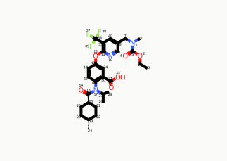 CCOC(=O)N(C)Cc1cnc(Oc2ccc(N(C(=O)[C@H]3CC[C@H](C)CC3)C(C)C)c(C(=O)O)c2)c(C(F)(F)F)c1